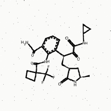 C[C@@H]1C[C@H](C[C@H](C(=O)C(=O)NC2CC2)c2cccc(C(N)=O)c2NC(=O)C2(C(F)(F)F)CCC2)C(=O)N1